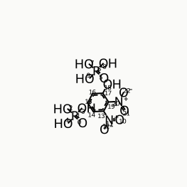 O=P(O)(O)O.O=P(O)(O)O.O=[N+]([O-])c1cccc(O)c1[N+](=O)[O-]